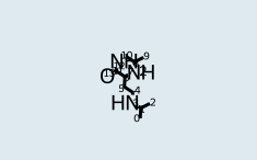 CC(C)NCCC(NC(C)C)C(N)=O